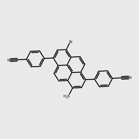 Bc1cc(-c2ccc(C#N)cc2)c2ccc3c(Br)cc(-c4ccc(C#N)cc4)c4ccc1c2c34